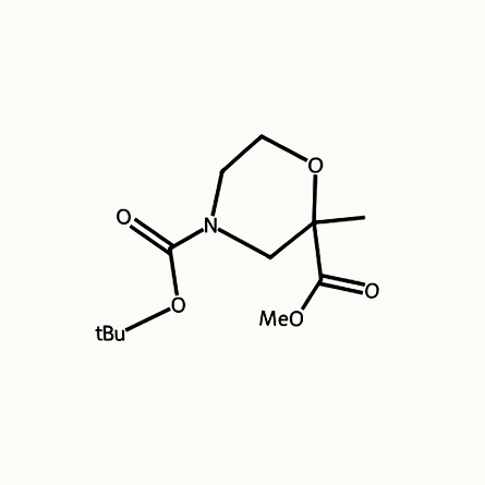 COC(=O)C1(C)CN(C(=O)OC(C)(C)C)CCO1